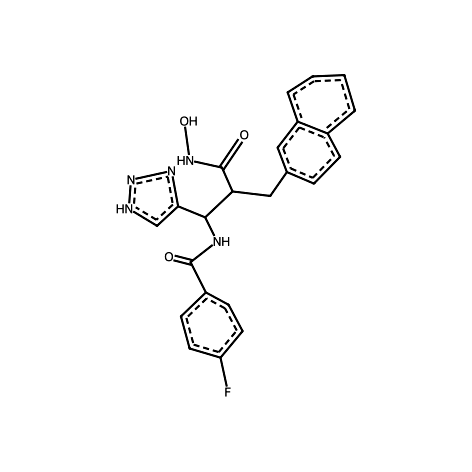 O=C(NC(c1c[nH]nn1)C(Cc1ccc2ccccc2c1)C(=O)NO)c1ccc(F)cc1